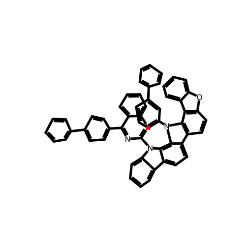 c1ccc(-c2ccc(-c3nc(-n4c5ccccc5c5ccc6c7ccc8oc9ccccc9c8c7n(-c7cccc(-c8ccccc8)c7)c6c54)nc4ccccc34)cc2)cc1